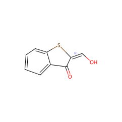 O=C1/C(=C\O)Sc2ccccc21